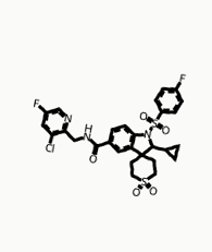 O=C(NCc1ncc(F)cc1Cl)c1ccc2c(c1)C1(CCS(=O)(=O)CC1)C(C1CC1)N2S(=O)(=O)c1ccc(F)cc1